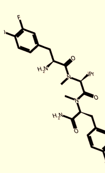 CC(C)[C@@H](C(=O)N(C)[C@@H](Cc1ccc(O)c(C(C)(C)C)c1)C(N)=O)N(C)C(=O)[C@@H](N)Cc1ccc(O)c(F)c1